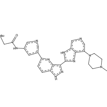 CN1CCN(c2cncc3[nH]c(-c4n[nH]c5ccc(-c6cncc(NC(=O)CC(C)(C)C)c6)nc45)nc23)CC1